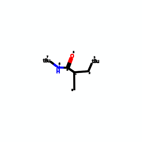 CC(CC(C)(C)C)C(=O)NC(C)(C)C